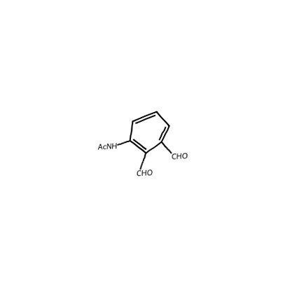 CC(=O)Nc1cccc(C=O)c1C=O